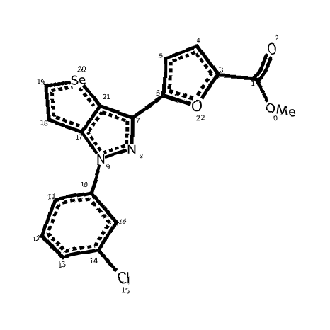 COC(=O)c1ccc(-c2nn(-c3cccc(Cl)c3)c3cc[se]c23)o1